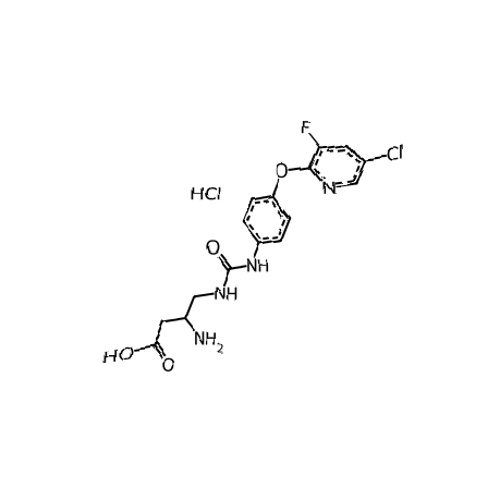 Cl.NC(CNC(=O)Nc1ccc(Oc2ncc(Cl)cc2F)cc1)CC(=O)O